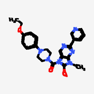 CCOc1ccc(N2CCN(C(=O)n3c(=O)n(C)c4nc(-c5cccnc5)ncc43)CC2)cc1